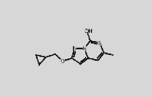 Cc1cc2cc(OCC3CC3)nn2c(O)n1